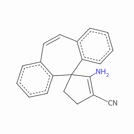 N#CC1=C(N)C2(CC1)c1ccccc1C=Cc1ccccc12